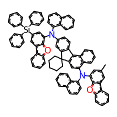 Cc1cc(N(c2cccc3ccccc23)c2cc3c(c4ccccc24)-c2ccc(N(c4cccc5ccccc45)c4cc([Si](c5ccccc5)(c5ccccc5)c5ccccc5)cc5c4oc4ccccc45)cc2C32CCCCC2)c2oc3ccccc3c2c1